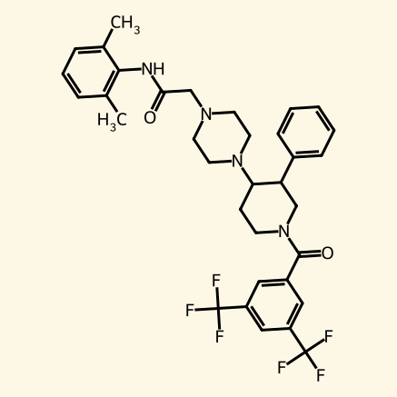 Cc1cccc(C)c1NC(=O)CN1CCN(C2CCN(C(=O)c3cc(C(F)(F)F)cc(C(F)(F)F)c3)CC2c2ccccc2)CC1